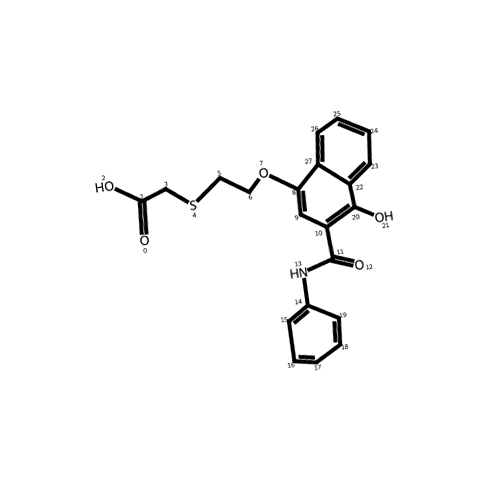 O=C(O)CSCCOc1cc(C(=O)Nc2ccccc2)c(O)c2ccccc12